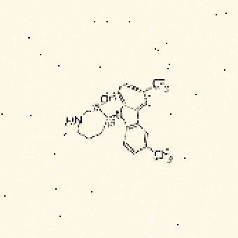 O[C@H]1CNCCC[C@@H]1n1c2ccc(C(F)(F)F)cc2c2cc(C(F)(F)F)ccc21